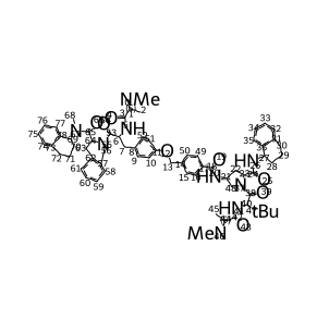 CN[C@@H](C)C(=O)NC(Cc1ccc(OCc2ccc(C(=O)NC3CC(C(=O)NC4CCCc5ccccc54)N(C(=O)C(NC(=O)[C@H](C)NC)C(C)(C)C)C3)cc2)cc1)C(=O)N1Cc2ccccc2CC1C(=O)N(C)C1CCCc2ccccc21